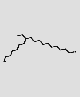 [CH2]CCCCCCCCCCC(CC)CCCCCC[CH2]